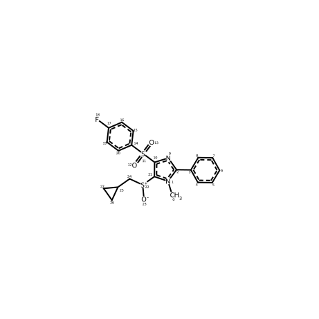 Cn1c(-c2ccccc2)nc(S(=O)(=O)c2ccc(F)cc2)c1[S+]([O-])CC1CC1